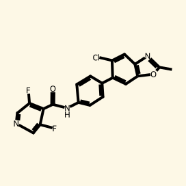 Cc1nc2cc(Cl)c(-c3ccc(NC(=O)c4c(F)cncc4F)cc3)cc2o1